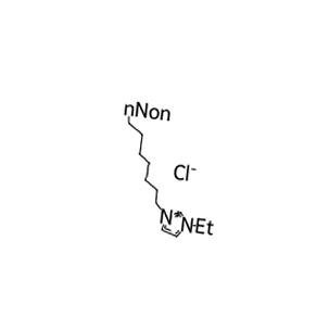 CCCCCCCCCCCCCCCC[n+]1ccn(CC)c1.[Cl-]